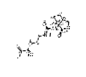 C=C(C)C(=O)OCCNC(=O)OC1C2CC3C1OC(=O)C3(C)C2